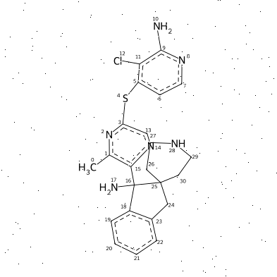 Cc1nc(Sc2ccnc(N)c2Cl)cnc1C1(N)c2ccccc2CC12CCNCC2